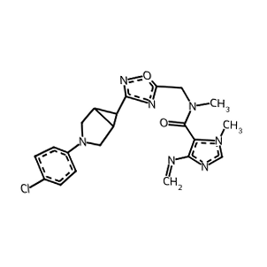 C=Nc1ncn(C)c1C(=O)N(C)Cc1nc(C2C3CN(c4ccc(Cl)cc4)CC32)no1